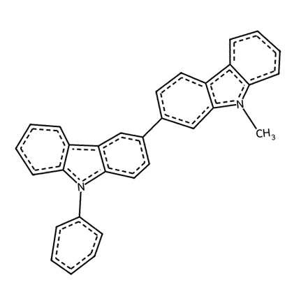 Cn1c2ccccc2c2ccc(-c3ccc4c(c3)c3ccccc3n4-c3ccccc3)cc21